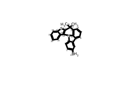 Bc1ccc2c(c1)c1cccc3c1n2-c1c(sc2ccccc12)C3(C)C